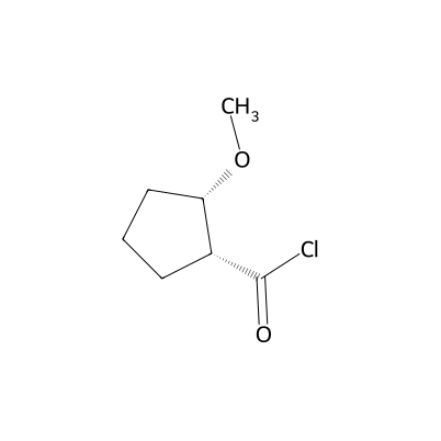 CO[C@H]1CCC[C@H]1C(=O)Cl